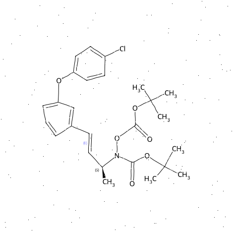 C[C@@H](/C=C/c1cccc(Oc2ccc(Cl)cc2)c1)N(OC(=O)OC(C)(C)C)C(=O)OC(C)(C)C